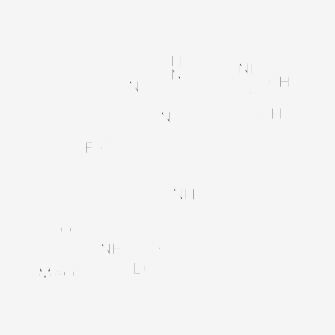 CCSc1c(NC(=O)OC)ccc2c(-c3nc(N[C@H]4CCC(C)(C)NC4)ncc3C(F)(F)F)c[nH]c12